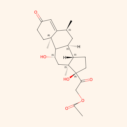 CC(=O)OCC(=O)[C@@]1(O)CC[C@H]2[C@@H]3C[C@H](C)C4=CC(=O)CC[C@]4(C)C3[C@@H](O)C[C@@]21C